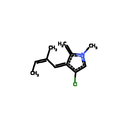 C=c1/c(=C\C(C)=C/C)c(Cl)cn1C